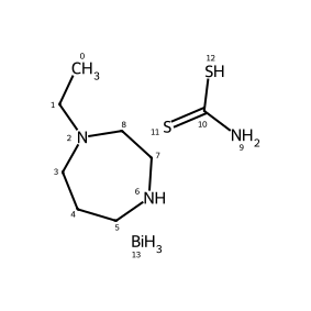 CCN1CCCNCC1.NC(=S)S.[BiH3]